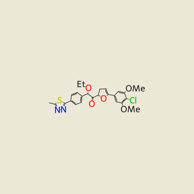 CCOC(C(=O)C1CC=C(c2cc(OC)c(Cl)c(OC)c2)O1)c1ccc(-c2nnc(C)s2)cc1